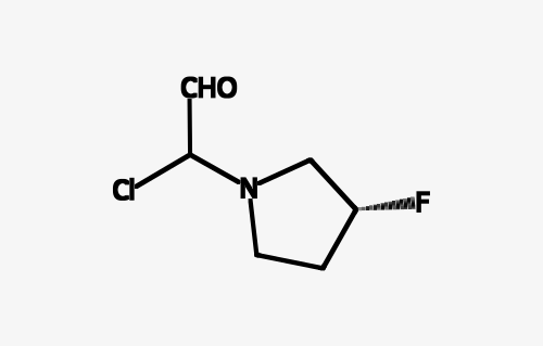 O=CC(Cl)N1CC[C@@H](F)C1